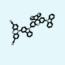 N#Cc1ccc2c(c1)Oc1cc(C#N)ccc1N2c1ccc2c(c1)c1ccccc1n2-c1ccc2c(c1)Oc1cc(-n3c4ccccc4c4ccccc43)ccc1C21c2cccnc2-c2ncccc21